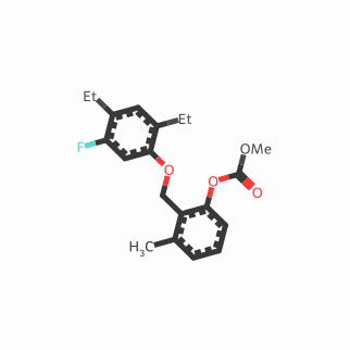 CCc1cc(CC)c(OCc2c(C)cccc2OC(=O)OC)cc1F